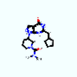 CN(C)C(=O)N1CCCC(n2ncc3c(=O)[nH]c(CC4CCCC4)nc32)C1